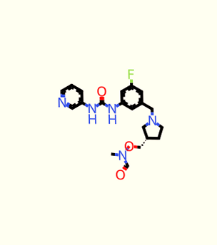 CN(C=O)OC[C@H]1CCN(Cc2cc(F)cc(NC(=O)Nc3cccnc3)c2)C1